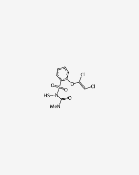 CNC(=O)N(S)S(=O)(=O)c1ccccc1OC(Cl)=CCl